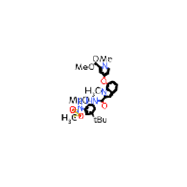 COc1c(NC(=O)c2cc3cccc(Oc4ccnc(C(OC)OC)c4)c3n2C)cc(C(C)(C)C)cc1NS(C)(=O)=O